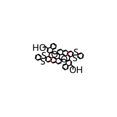 OCc1cc(-c2cccc3c2Sc2ccccc2S3)c(Oc2ccc3ccccc3c2-c2c(Oc3c(-c4cccc5c4Sc4ccccc4S5)cc(CO)c4ccccc34)ccc3ccccc23)c2ccccc12